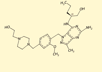 CCC[C@@H](CO)Nc1nc(N)nc2c(C)nn(Cc3ccc(CN4CCN(CCO)CC4)cc3OC)c12